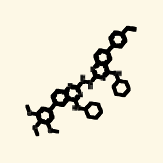 C=Cc1ccc(-c2ccc3nc(NNc4nc(NC5CCCCC5)c5cc(-c6cc(OC)c(OC)c(OC)c6)ccc5n4)nc(NC4CCCCC4)c3c2)cc1